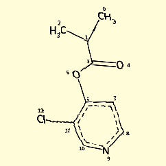 CC(C)C(=O)Oc1c[c]ncc1Cl